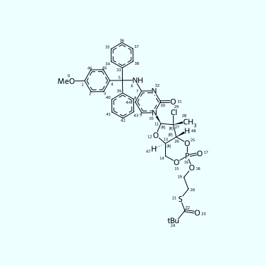 COc1ccc(C(Nc2ccn([C@@H]3O[C@@H]4COP(=O)(OCCSC(=O)C(C)(C)C)O[C@H]4[C@@]3(C)Cl)c(=O)n2)(c2ccccc2)c2ccccc2)cc1